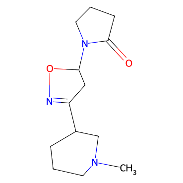 CN1CCCC(C2=NOC(N3CCCC3=O)C2)C1